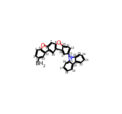 Bc1ccc2oc3cc4oc5ccc(-n6c7ccccc7c7ccccc76)cc5c4cc3c2c1